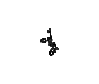 CCC(=O)CCCCCC(NC(=O)C1CCN(C)CC1)c1nnc(-c2cc3ccccc3nc2OC)o1